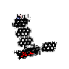 B#N.C1C2[C@@H]3[C@H]4[C@@H]5[C@H]6C[C@@H]7C[C@@]89C[C@@]%10%11C[C@@H]%12C[C@H]%13[C@@H]%14[C@H]%15[C@H]2[C@]2%16C[C@H]1C[C@]31C[C@@]5(C7)[C@H]8[C@@]([C@H]%10[C@@]%14(C%12)C2)([C@@H]1%16)[C@]4%15[C@@H]([C@@H]69)[C@H]%13%11.[MgH2].c1cc2ccc3cc4cccc5ccc6cc(c1)c2c3c6c54.c1cc2ccc3cc4cccc5ccc6cc(c1)c2c3c6c54.c1cc2ccc3cc4cccc5ccc6cc(c1)c2c3c6c54.c1cc2ccc3cc4cccc5ccc6cc(c1)c2c3c6c54